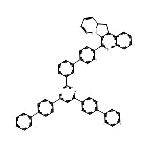 C1=CC2Cc3c(c(-c4ccc(-c5cccc(-c6nc(-c7ccc(-c8ccccc8)cc7)cc(-c7ccc(-c8ccccc8)cc7)n6)c5)cc4)nc4ccccc34)N2C=C1